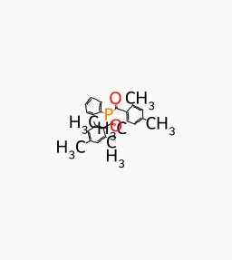 Cc1cc(C)c(C(=O)P(C(=O)c2c(C)cc(C)cc2C)c2ccccc2)c(C)c1